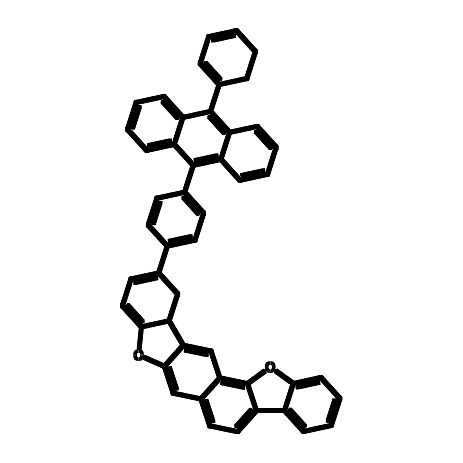 C1=CCCC(c2c3ccccc3c(-c3ccc(C4=CC=C5Oc6cc7ccc8c9ccccc9oc8c7cc6C5C4)cc3)c3ccccc23)=C1